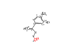 C=C(CCO)c1ccc(CC)c(CC)c1